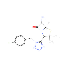 CC1(C)S[C@@H]2C(N)C(=O)N2C1c1nnnn1Cc1ccc(F)cc1